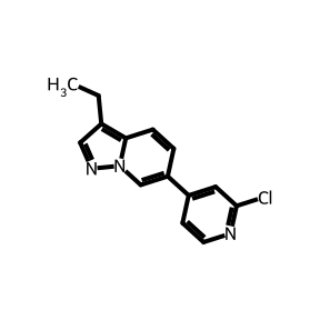 CCc1cnn2cc(-c3ccnc(Cl)c3)ccc12